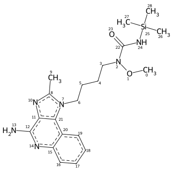 CON(CCCCn1c(C)nc2c(N)nc3ccccc3c21)C(=O)N[Si](C)(C)C